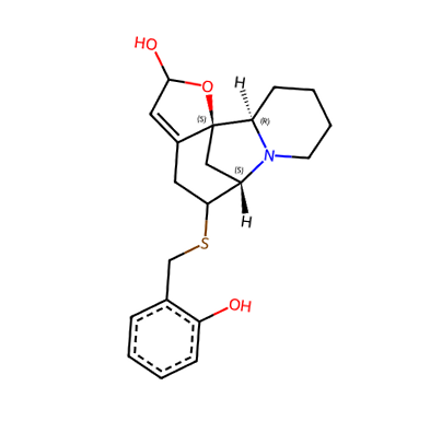 Oc1ccccc1CSC1CC2=CC(O)O[C@@]23C[C@@H]1N1CCCC[C@@H]13